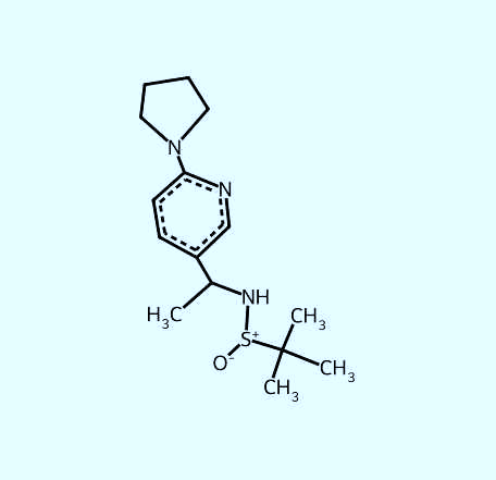 CC(N[S+]([O-])C(C)(C)C)c1ccc(N2CCCC2)nc1